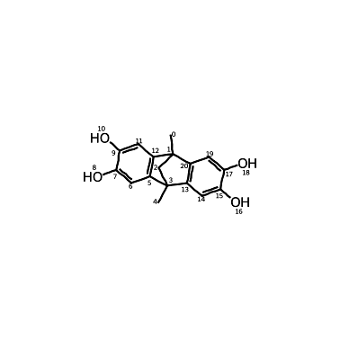 CC12CC(C)(c3cc(O)c(O)cc31)c1cc(O)c(O)cc12